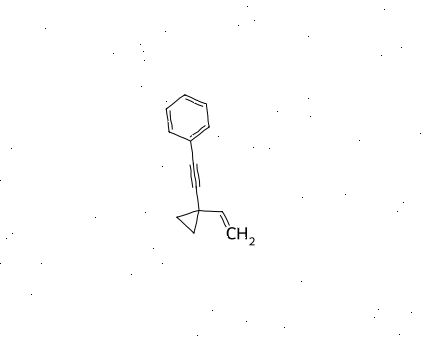 C=CC1(C#Cc2ccccc2)CC1